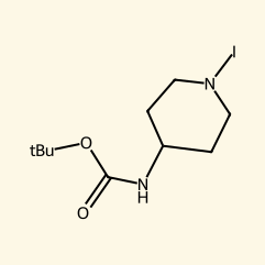 CC(C)(C)OC(=O)NC1CCN(I)CC1